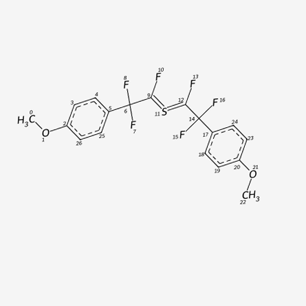 COc1ccc(C(F)(F)C(F)=S=C(F)C(F)(F)c2ccc(OC)cc2)cc1